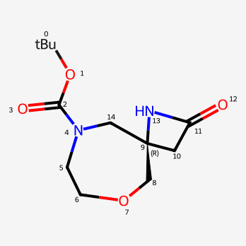 CC(C)(C)OC(=O)N1CCOC[C@@]2(CC(=O)N2)C1